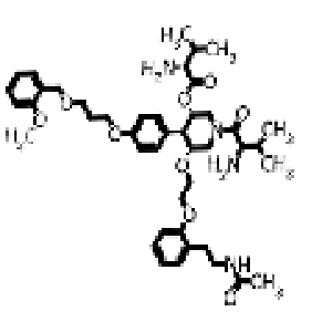 COc1ccccc1COCCCOc1ccc([C@@H]2[C@@H](OCCOc3ccccc3CCNC(C)=O)CN(C(=O)C(N)C(C)C)C[C@H]2OC(=O)[C@@H](N)C(C)C)cc1